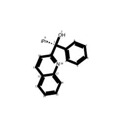 CC(C)[C@](O)(c1ccccc1)c1ccc2ccccc2n1